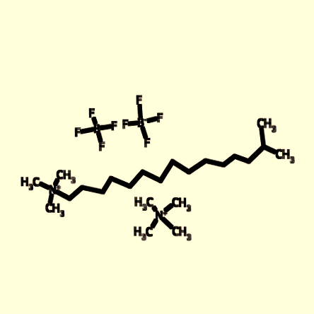 CC(C)CCCCCCCCCCCCC[N+](C)(C)C.C[N+](C)(C)C.F[B-](F)(F)F.F[B-](F)(F)F